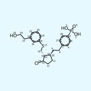 O=P(O)(O)c1ccc(CC[C@H]2CCC(Cl)[C@@H]2CSc2cccc(CCO)c2)cc1